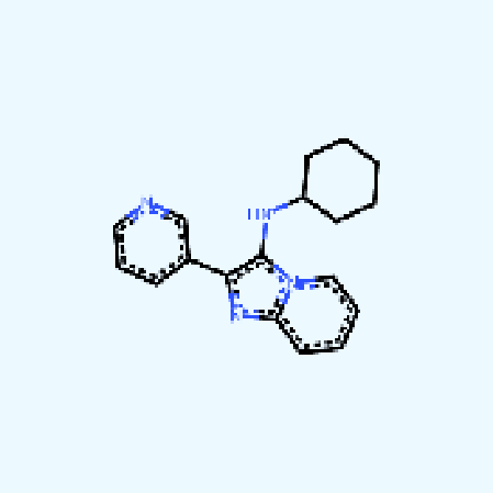 c1cncc(-c2nc3ccccn3c2NC2CCCCC2)c1